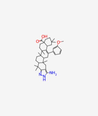 COc1cccc(C2=C3C4CC(C)(C)CCC4(C(=O)O)CCC3(C)C3(C)CCC4C(C)(C)c5n[nH]c(N)c5CC4(C)C3C2)c1